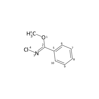 CO/C(=N\Cl)c1ccccc1